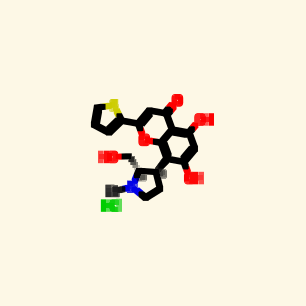 CCN1CC[C@H](c2c(O)cc(O)c3c(=O)cc(-c4cccs4)oc23)[C@H]1CO.Cl